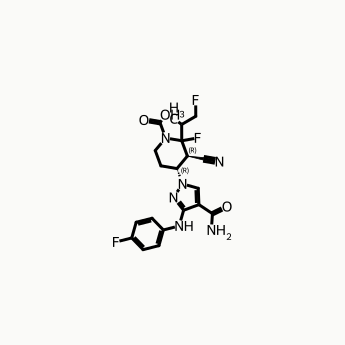 CC(CF)C1(F)[C@@H](C#N)[C@H](n2cc(C(N)=O)c(Nc3ccc(F)cc3)n2)CCN1C(=O)O